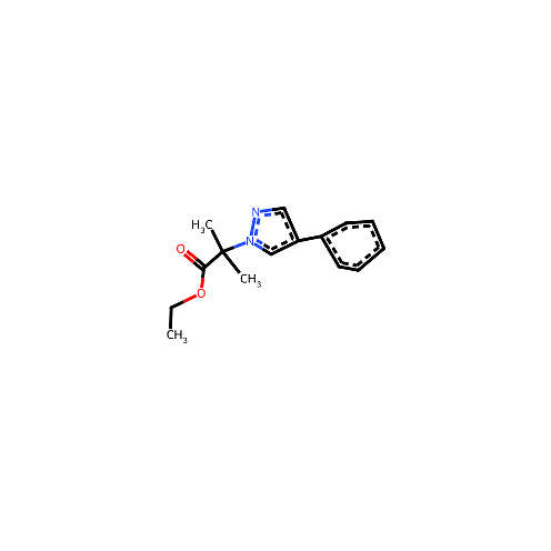 CCOC(=O)C(C)(C)n1cc(-c2ccccc2)cn1